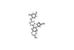 CC(=O)N1CCc2nc(N3CCC(Oc4ccc(F)cc4F)CC3)c(-c3cnn(C(C)C)c3)nc2C1